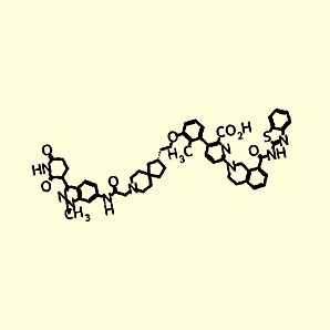 Cc1c(OCC[C@@H]2CCC3(CCN(CC(=O)Nc4ccc5c(C6CCC(=O)NC6=O)nn(C)c5c4)CC3)C2)cccc1-c1ccc(N2CCc3cccc(C(=O)Nc4nc5ccccc5s4)c3C2)nc1C(=O)O